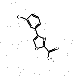 NC(=O)c1nc(-c2cccc(Cl)c2)co1